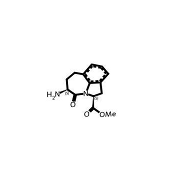 COC(=O)[C@@H]1Cc2cccc3c2N1C(=O)[C@@H](N)CC3